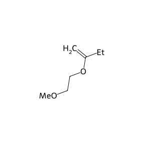 C=C(CC)OCCOC